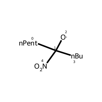 CCCCCC([O])(CCCC)[N+](=O)[O-]